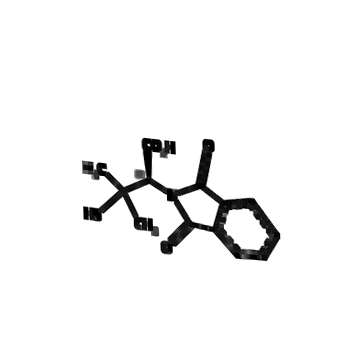 CC(C)(S)[C@@H](C(=O)O)N1C(=O)c2ccccc2C1=O